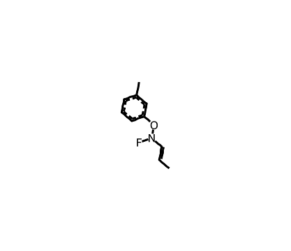 C/C=C/N(F)Oc1cccc(C)c1